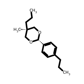 CCCc1ccc([C@H]2OC[C@](C)(CCC)CO2)cc1